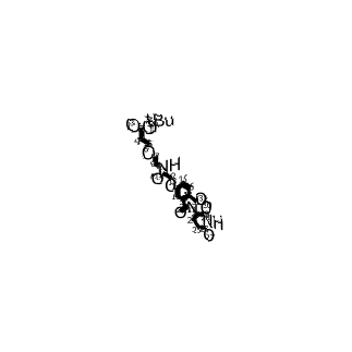 CC(C)(C)OC(=O)CCOCCNC(=O)COc1ccc2c(c1)C(=O)N(C1CCC(=O)NC1=O)C2=O